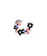 CC(C)(C)OC(=O)N1CCC(Oc2ccc3cn(C(=O)OCc4ccccc4)cc3c2)C1